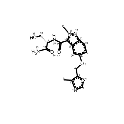 Cc1ncsc1COc1ccc2nn(C)c(C(=O)N[C@@H](CO)C(N)=O)c2c1